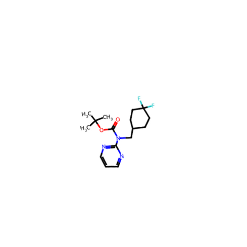 CC(C)(C)OC(=O)N(CC1CCC(F)(F)CC1)c1ncccn1